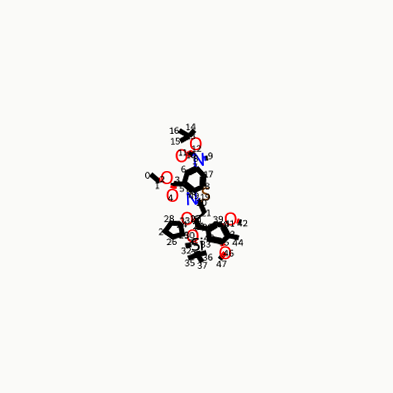 CCOC(=O)c1cc(N(C)C(=O)OC(C)(C)C)cc2sc(C[C@H](OC3CCCC3)[C@H](O[Si](C)(C)C(C)(C)C)c3cc(OC)c(C)c(OC)c3)nc12